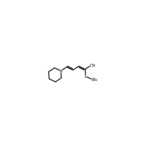 CC(C)(C)S/C(C#N)=C\C=C\N1CCCCC1